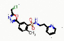 Cc1ccc(-c2nnc(CCl)o2)cc1S(=O)(=O)NCCc1ccccn1